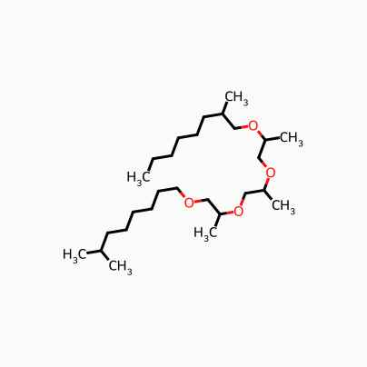 CCCCCCC(C)COC(C)COC(C)COC(C)COCCCCCCC(C)C